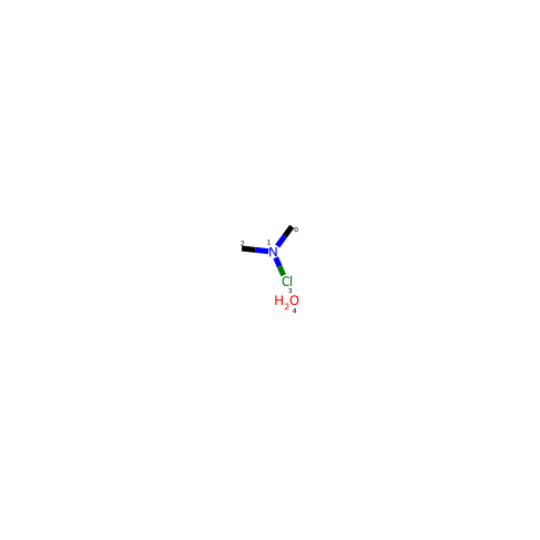 CN(C)Cl.O